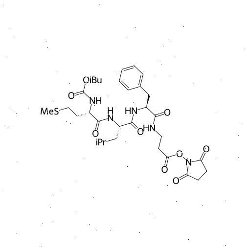 CSCC[C@H](NC(=O)OCC(C)C)C(=O)N[C@@H](CC(C)C)C(=O)N[C@@H](Cc1ccccc1)C(=O)NCCC(=O)ON1C(=O)CCC1=O